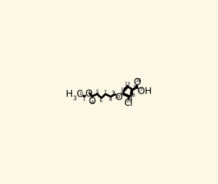 CCOC(=O)CCCCCOc1ccc(C(=O)O)cc1Cl